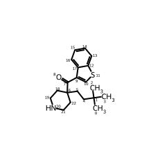 CC(C)(C)CCC1(C(=O)c2csc3ccccc23)CCNCC1